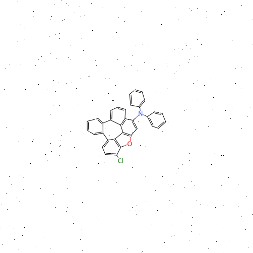 Clc1ccc2c3c1oc1cc(N(c4ccccc4)c4ccccc4)c4cccc(c4c13)-c1ccccc1-2